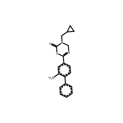 Nc1cc(C2=NCN(CC3CC3)C(=O)O2)ccc1-c1ccccc1